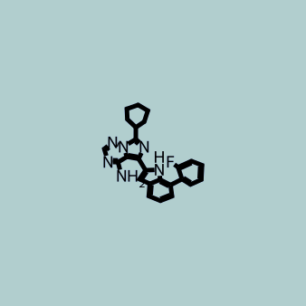 Nc1ncnn2c(C3CCCCC3)nc(-c3cc4cccc(-c5ccccc5F)c4[nH]3)c12